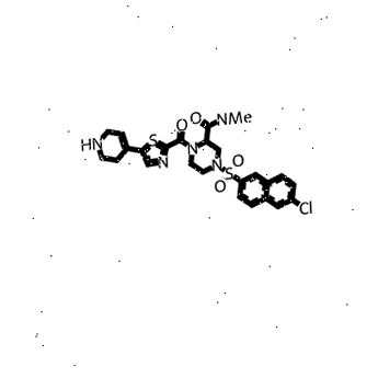 CNC(=O)C1CN(S(=O)(=O)c2ccc3cc(Cl)ccc3c2)CCN1C(=O)c1ncc(C2=CCNCC2)s1